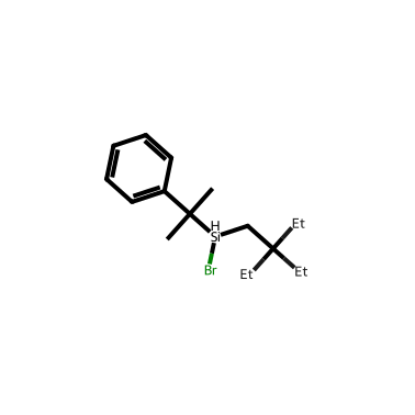 CCC(CC)(CC)C[SiH](Br)C(C)(C)c1ccccc1